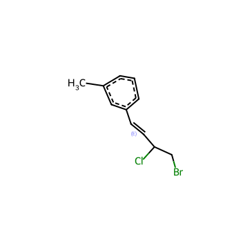 Cc1cccc(/C=C/C(Cl)CBr)c1